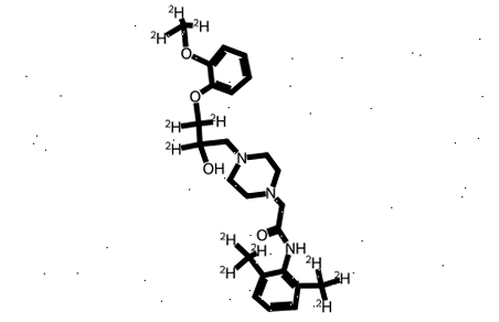 [2H]C([2H])([2H])Oc1ccccc1OC([2H])([2H])C([2H])(O)CN1CCN(CC(=O)Nc2c(C([2H])([2H])[2H])cccc2C([2H])([2H])[2H])CC1